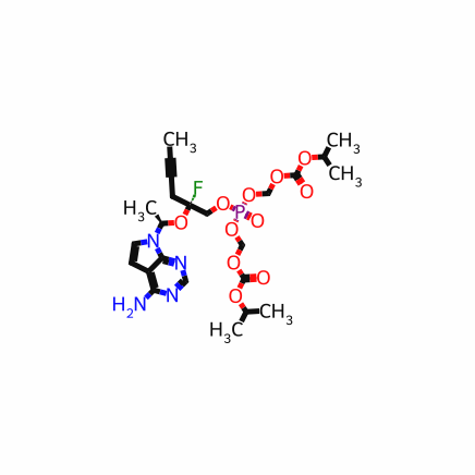 CC#CC[C@@](F)(COP(=O)(OCOC(=O)OC(C)C)OCOC(=O)OC(C)C)O[C@H](C)n1ccc2c(N)ncnc21